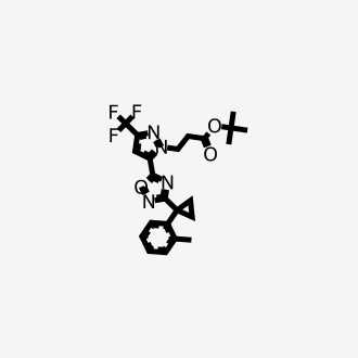 Cc1ccccc1C1(c2noc(-c3cc(C(F)(F)F)nn3CCC(=O)OC(C)(C)C)n2)CC1